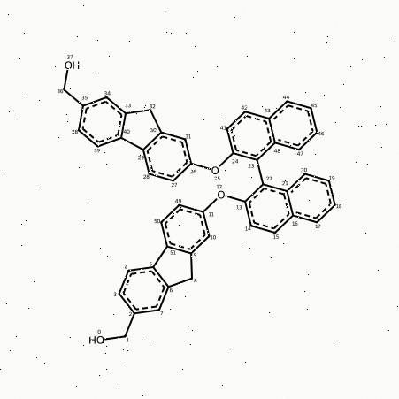 OCc1ccc2c(c1)Cc1cc(Oc3ccc4ccccc4c3-c3c(Oc4ccc5c(c4)Cc4cc(CO)ccc4-5)ccc4ccccc34)ccc1-2